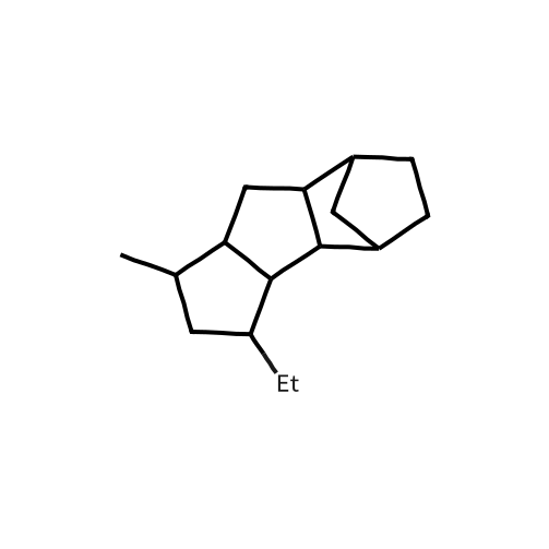 CCC1CC(C)C2CC3C4CCC(C4)C3C12